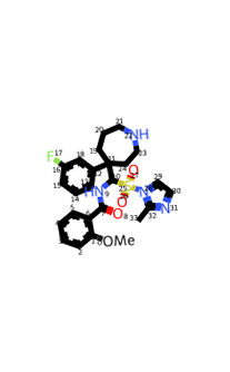 COc1ccccc1C(=O)NC(C1(c2cccc(F)c2)CCCNCC1)S(=O)(=O)n1ccnc1C